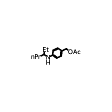 CCCC(CC)Nc1ccc(COC(C)=O)cc1